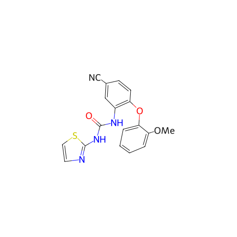 COc1ccccc1Oc1ccc(C#N)cc1NC(=O)Nc1nccs1